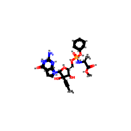 CC#CC1(O)C(O)[C@@H](CO[P@@](=O)(N[C@@H](C)C(=O)OC(C)C)Oc2ccccc2)OC1n1ccc2c(=O)[nH]c(N)nc21